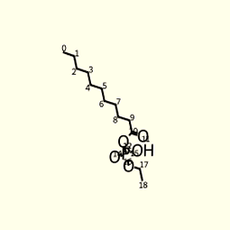 CCCCCCCCCCC(=O)OP(=O)(O)OCC